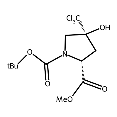 COC(=O)[C@H]1C[C@@](O)(C(Cl)(Cl)Cl)CN1C(=O)OC(C)(C)C